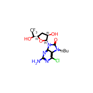 CCCCn1c(=O)n([C@@H]2O[C@H](C(O)C(F)(F)F)C[C@H]2O)c2nc(N)nc(Cl)c21